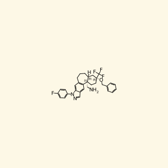 NC[C@@]12CC[C@](OCc3ccccc3)(C(F)(F)F)C[C@H]1CCCc1cc3c(cnn3-c3ccc(F)cc3)cc12